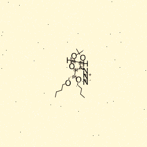 CCCCOC[C@@H](OCCCC)[C@H]1O[C@@H]2OC(C)(C)O[C@@H]2[C@H]1N=[N+]=[N-]